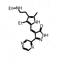 CCNCCc1c(C)[nH]c(C=C2C(=O)NN=C2c2cnccn2)c1CC